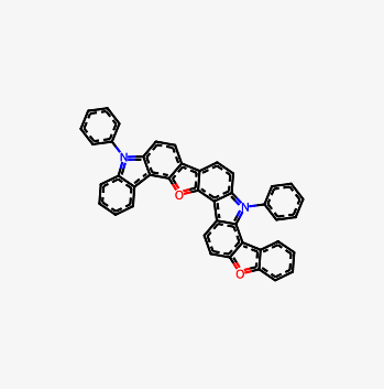 c1ccc(-n2c3ccccc3c3c4oc5c(ccc6c5c5ccc7oc8ccccc8c7c5n6-c5ccccc5)c4ccc32)cc1